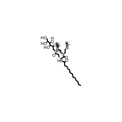 CCCCCCCCCCCCC(=O)N[C@H](CCC(=O)NCC(O)C(O)C(O)C(O)CO)C(=O)N(CCN=[N+]=[N-])CCN=[N+]=[N-]